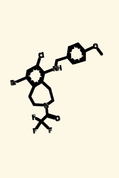 COc1ccc(CNc2c(Cl)cc(Br)c3c2CCN(C(=O)C(F)(F)F)CC3)cc1